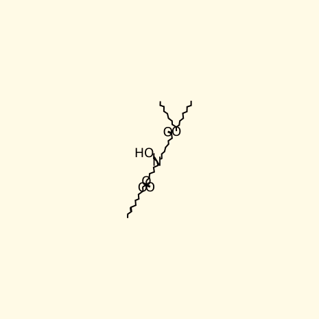 CCC=CCCCCCOC(=O)OCCCCCN(CCO)CCCCCCCC(=O)OC(CCCCCCCC)CCCCCCCC